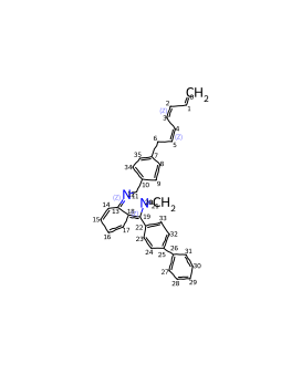 C=C/C=C\C=C/Cc1ccc(C/N=C2/C=CC=C/C2=C(/N=C)c2ccc(-c3ccccc3)cc2)cc1